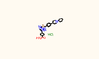 Cl.O=C(O)c1ccc(-c2cnc3sc(-c4ccc(C5CCN(C6CCCCC6)CC5)cc4)nn23)cc1